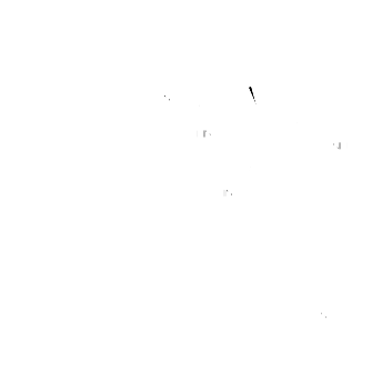 C[C@@H](c1c[nH]c2ccccc12)[C@@H](NC(=O)N1CCC(c2ccccc2)CC1)C(=O)Nc1ccc2c(c1)CCN(C)CC2